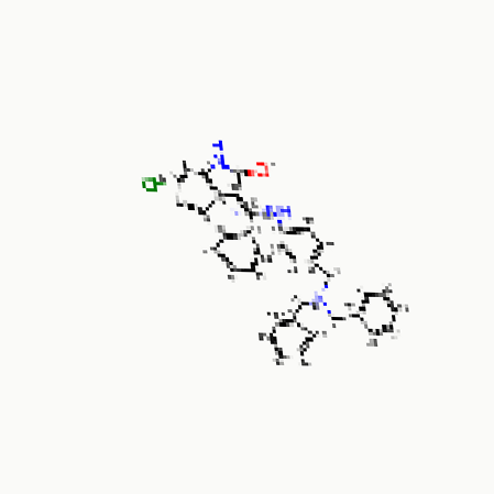 O=C1Nc2cc(Cl)ccc2/C1=C(/Nc1ccc(CN(Cc2ccccc2)Cc2ccccc2)cc1)c1ccccc1